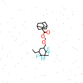 CCC1CC(COCOC(=O)C23CC4CC(CC(C4)C2)C3)C(F)(F)C(C)(F)C1(F)F